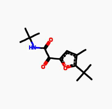 Cc1cc(C(=O)C(=O)NC(C)(C)C)oc1C(C)(C)C